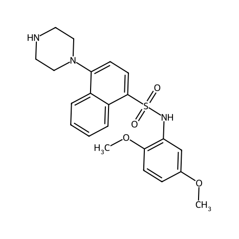 COc1ccc(OC)c(NS(=O)(=O)c2ccc(N3CCNCC3)c3ccccc23)c1